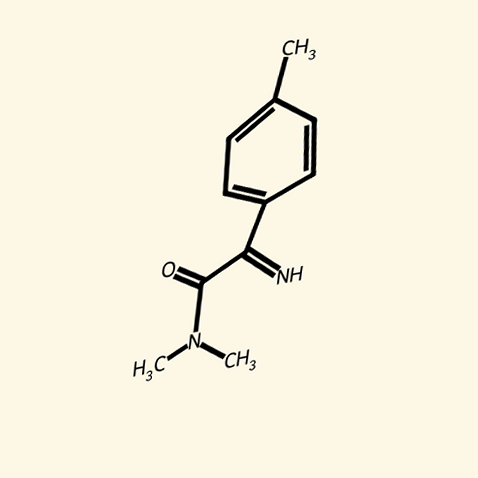 Cc1ccc(C(=N)C(=O)N(C)C)cc1